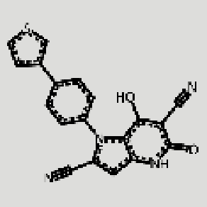 N#Cc1c(O)c2c(cc(C#N)n2-c2ccc(-c3ccsc3)cc2)[nH]c1=O